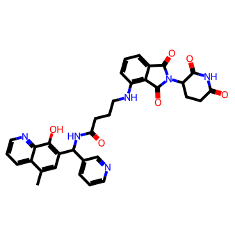 Cc1cc(C(NC(=O)CCCNc2cccc3c2C(=O)N(C2CCC(=O)NC2=O)C3=O)c2cccnc2)c(O)c2ncccc12